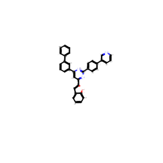 c1ccc(-c2cccc(-c3cc(-c4cc5ccccc5o4)nc(-c4ccc(-c5cccnc5)cc4)n3)c2)cc1